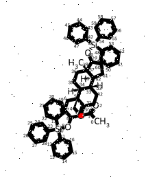 CC(=O)OC[C@]12CCC(O[Si](c3ccccc3)(c3ccccc3)c3ccccc3)C=C1CC[C@@H]1[C@H]2CC[C@]2(C)C(O[Si](c3ccccc3)(c3ccccc3)c3ccccc3)CC[C@@H]12